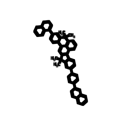 C[Si]1(C)c2cc(-c3ccc(-c4ccc5ccccc5c4)cc3)ccc2-c2c1cc1c3c(cccc23)[Si](C)(C)c2cc(-c3cccc4ccccc34)ccc2-1